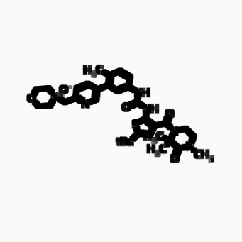 Cc1ccc(NC(=O)Nc2sc(C(C)(C)C)cc2C(=O)N2CCN(C)C(=O)C2(C)C)cc1-c1ccc(C[N+]2([O-])CCOCC2)nc1